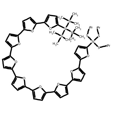 CC(C)S[Si](SC(C)C)(SC(C)C)c1ccc(-c2ccc(-c3ccc(-c4ccc(-c5ccc(-c6ccc(-c7ccc(-c8ccc(-c9ccc([Si]([Si](C)(C)C)([Si](C)(C)C)[Si](C)(C)C)o9)o8)o7)o6)o5)o4)o3)o2)o1